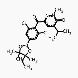 CCC1(C)OB(c2cc(Cl)c(C(=O)c3cc(C(C)C)c(=O)n(C)n3)c(Cl)c2)OC1(C)C